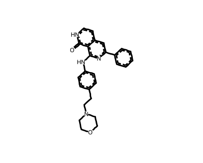 O=c1[nH]ccc2cc(-c3ccccc3)nc(Nc3ccc(CCN4CCOCC4)cc3)c12